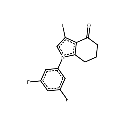 O=C1CCCc2c1c(I)cn2-c1cc(F)cc(F)c1